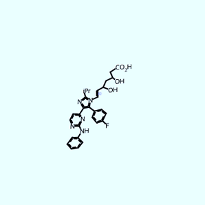 CC(C)c1nc(-c2ccnc(Nc3ccccc3)n2)c(-c2ccc(F)cc2)n1/C=C/C(O)CC(O)CC(=O)O